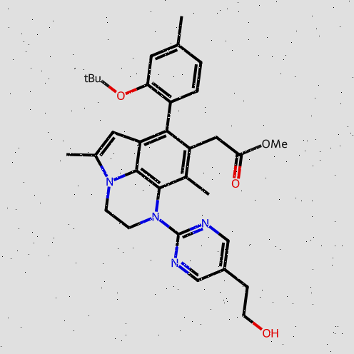 COC(=O)Cc1c(C)c2c3c(cc(C)n3CCN2c2ncc(CCO)cn2)c1-c1ccc(C)cc1OC(C)(C)C